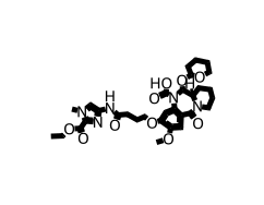 CCOC(=O)c1nc(NC(=O)CCCOc2cc3c(cc2OC)C(=O)N2CCCC[C@H]2C(OC2CCCCO2)N3C(=O)O)cn1C